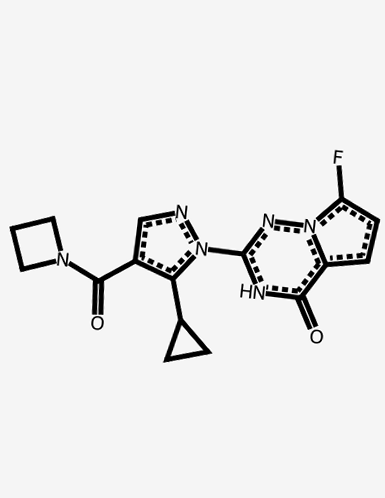 O=C(c1cnn(-c2nn3c(F)ccc3c(=O)[nH]2)c1C1CC1)N1CCC1